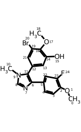 COc1ccc(-c2ncn(C)c2-c2cc(O)c(OC)c(Br)c2)cc1F